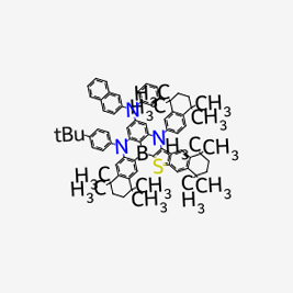 CC(C)(C)c1ccc(N2c3cc4c(cc3B3c5sc6cc7c(cc6c5N(c5ccc6c(c5)C(C)(C)CCC6(C)C)c5cc(N(c6ccccc6)c6ccc8ccccc8c6)cc2c53)C(C)(C)CCC7(C)C)C(C)(C)CCC4(C)C)cc1